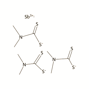 CN(C)C(=S)[S-].CN(C)C(=S)[S-].CN(C)C(=S)[S-].[Sb+3]